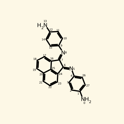 Nc1ccc(N=C2C(=Nc3ccc(N)cc3)c3cccc4cccc2c34)cc1